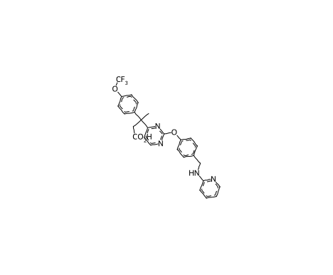 CC(CC(=O)O)(c1ccc(OC(F)(F)F)cc1)c1ccnc(Oc2ccc(CNc3ccccn3)cc2)n1